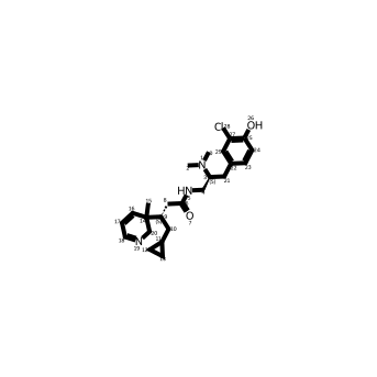 CN(C)[C@H](CNC(=O)C[C@H](CC1CC1)C1(C)C=CC=NC1)Cc1ccc(O)c(Cl)c1